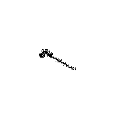 CCC=CCC=CCC=CCC=CCC=CCCCC(=O)NCCN(C)C(=O)c1cccnc1